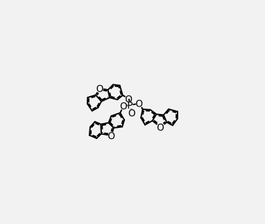 O=P(Oc1ccc2oc3ccccc3c2c1)(Oc1ccc2oc3ccccc3c2c1)Oc1ccc2oc3ccccc3c2c1